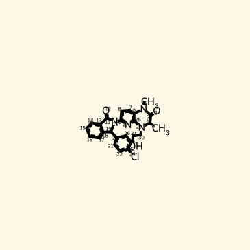 CC1C(=O)N(C)c2ccc(N3C(=O)c4ccccc4C3c3ccc(Cl)cc3)nc2N1CCO